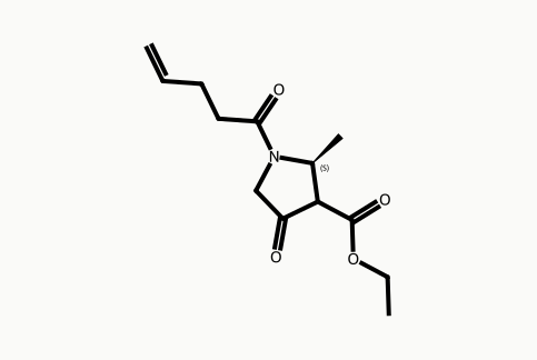 C=CCCC(=O)N1CC(=O)C(C(=O)OCC)[C@@H]1C